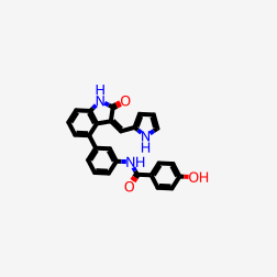 O=C1Nc2cccc(-c3cccc(NC(=O)c4ccc(O)cc4)c3)c2/C1=C/c1ccc[nH]1